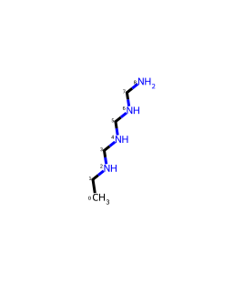 CCNCNCNCN